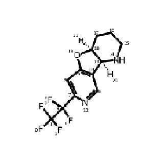 FC(F)(F)C(F)(F)c1cc2c(cn1)[C@@H]1NCCC[C@@H]1O2